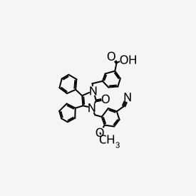 COc1ccc(C#N)cc1Cn1c(-c2ccccc2)c(-c2ccccc2)n(Cc2cccc(C(=O)O)c2)c1=O